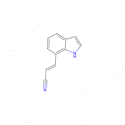 N#CC=Cc1cccc2cc[nH]c12